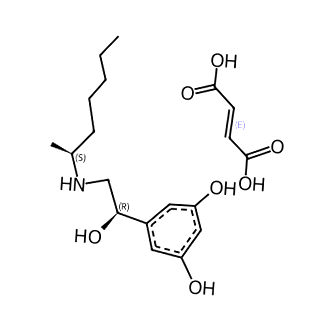 CCCCC[C@H](C)NC[C@H](O)c1cc(O)cc(O)c1.O=C(O)/C=C/C(=O)O